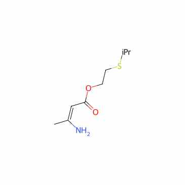 CC(N)=CC(=O)OCCSC(C)C